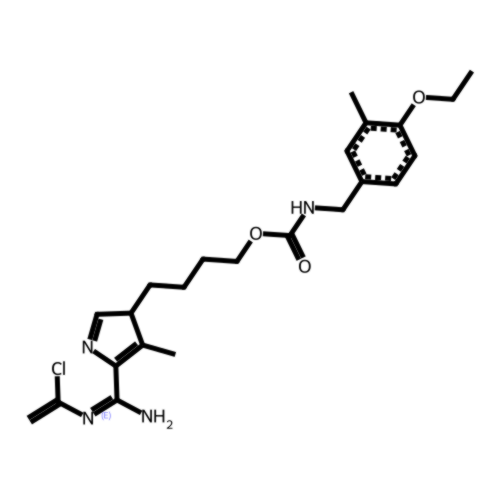 C=C(Cl)/N=C(/N)C1=C(C)C(CCCCOC(=O)NCc2ccc(OCC)c(C)c2)C=N1